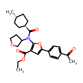 CCOC(=O)c1cc(-c2ccc(C(C)=O)cc2)oc1N(C(=O)[C@H]1CC[C@H](C)CC1)C1CCOC1